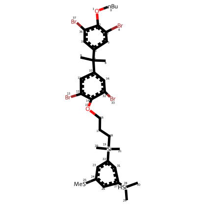 CCCCOc1c(Br)cc(C(C)(C)c2cc(Br)c(OCCC[Si](C)(C)c3cc(SC)cc([SiH](C)C)c3)c(Br)c2)cc1Br